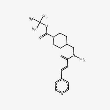 CN(CC1CCN(C(=O)OC(C)(C)C)CC1)C(=O)C=Cc1ccncc1